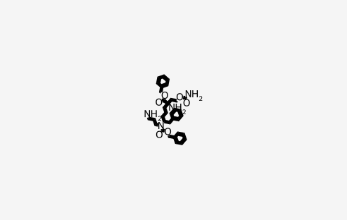 NCCCN(C(=O)OCc1ccccc1)C(CCCC(N)(CCOC(N)=O)C(=O)OCc1ccccc1)Cc1ccccc1